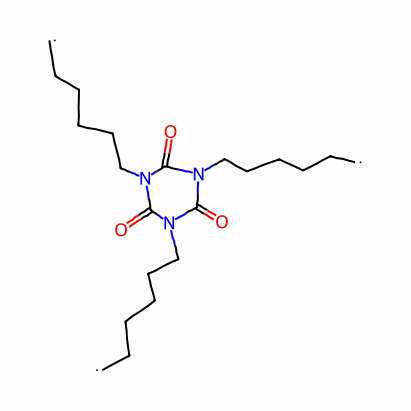 [CH2]CCCCCn1c(=O)n(CCCCC[CH2])c(=O)n(CCCCC[CH2])c1=O